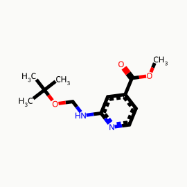 COC(=O)c1ccnc(NCOC(C)(C)C)c1